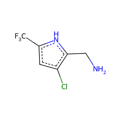 NCc1[nH]c(C(F)(F)F)cc1Cl